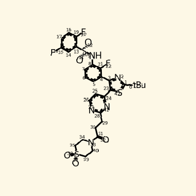 CC(C)(C)c1nc(-c2cccc(NS(=O)(=O)c3cc(F)ccc3F)c2F)c(-c2ccnc(CCC(=O)N3CCS(=O)(=O)CC3)n2)s1